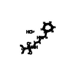 CN(C)S(=O)(=O)NCCNCc1ccccc1.Cl